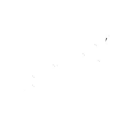 C[C@@H](CO)Nc1ncc2ccc(C(=O)NC(c3ccc(Cl)c(F)c3)c3ccn(C)n3)cc2n1